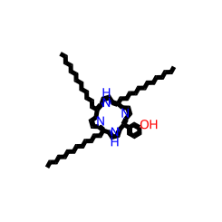 CCCCCCCCCCCCCc1c2nc(c(CCCCCCCCCCCCC)c3ccc([nH]3)c(-c3cccc(O)c3)c3nc(c(CCCCCCCCCCCCC)c4ccc1[nH]4)C=C3)C=C2